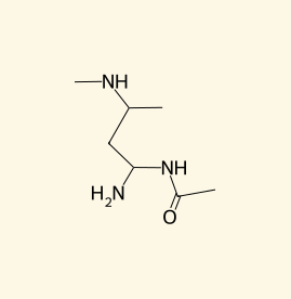 CNC(C)CC(N)NC(C)=O